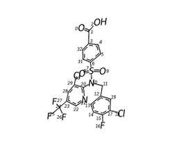 O=C(O)c1ccc(S(=O)(=O)N(Cc2ccc(F)c(Cl)c2)c2ncc(C(F)(F)F)cc2Cl)cc1